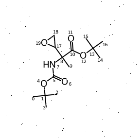 CC(C)(C)OC(=O)NC(C)(C(=O)OC(C)(C)C)C1CO1